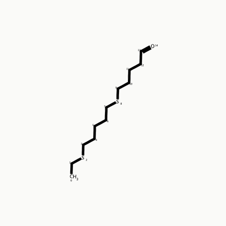 CCSCCCCCSCCCCC=O